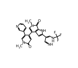 Cn1cc(-c2cccnc2)c(-c2cn(C)c(=O)c3[nH]c(/C(C=N)=C/NC(F)(F)F)cc23)cc1=O